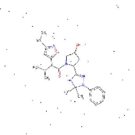 BBc1cc(C(C(=O)N2CC(O)CC2C2=NN(c3ccccc3)C(C)(C)N2)C(C)C)on1